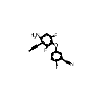 CC#Cc1c(N)cc(F)c(Oc2ccc(F)c(C#N)c2)c1F